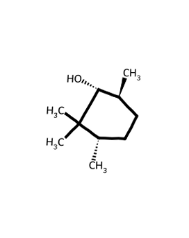 C[C@H]1CC[C@H](C)C(C)(C)[C@@H]1O